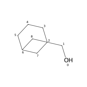 OCC12CCCC(C1)C2